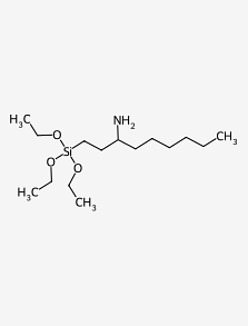 CCCCCCC(N)CC[Si](OCC)(OCC)OCC